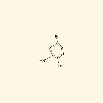 [NH]c1cc(Br)ccc1Br